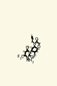 C#CCN1C(=O)COc2cc(F)c(-n3c(=O)cc(C(F)(F)F)n(N)c3=O)cc21